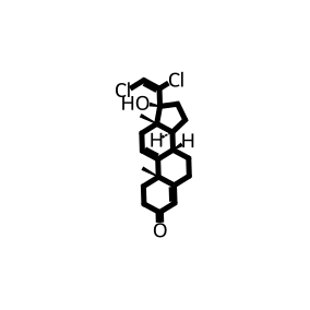 C[C@]12CCC(=O)C=C1CC[C@@H]1C2=CC[C@@]2(C)[C@H]1CC[C@@]2(O)/C(Cl)=C\Cl